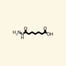 NNC(=O)CCCCCC(=O)O